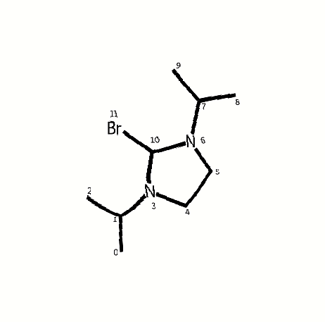 CC(C)N1CCN(C(C)C)C1Br